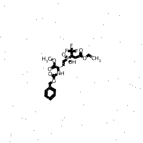 CCOC(=O)CC(C(F)(F)F)P(=O)(O)CC[C@H](NC(=O)OCc1ccccc1)C(=O)OC